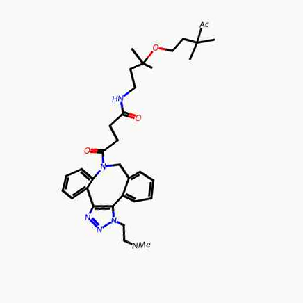 CNCCn1nnc2c1-c1ccccc1CN(C(=O)CCC(=O)NCCC(C)(C)OCCC(C)(C)C(C)=O)c1ccccc1-2